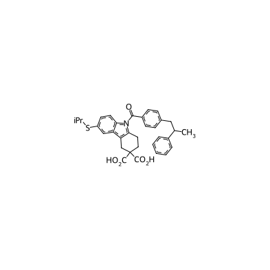 CC(C)Sc1ccc2c(c1)c1c(n2C(=O)c2ccc(CC(C)c3ccccc3)cc2)CCC(C(=O)O)(C(=O)O)C1